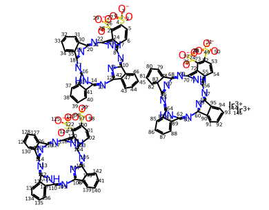 O=S(=O)([O-])c1ccc2c3nc4nc(nc5[nH]c(nc6nc(nc([nH]3)c2c1S(=O)(=O)[O-])-c1ccccc1-6)c1ccccc51)-c1ccccc1-4.O=S(=O)([O-])c1ccc2c3nc4nc(nc5[nH]c(nc6nc(nc([nH]3)c2c1S(=O)(=O)[O-])-c1ccccc1-6)c1ccccc51)-c1ccccc1-4.O=S(=O)([O-])c1ccc2c3nc4nc(nc5[nH]c(nc6nc(nc([nH]3)c2c1S(=O)(=O)[O-])-c1ccccc1-6)c1ccccc51)-c1ccccc1-4.[Ir+3].[Ir+3]